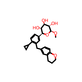 CO[C@H]1O[C@@H](c2ccc(C3CC3)c(Cc3ccc4c(c3)CCCO4)c2)[C@H](O)[C@@H](O)[C@@H]1O